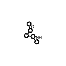 c1ccc(-c2ccc3oc4ccccc4c3c2)c(-c2ccc3[nH]c4ccccc4c3c2)c1